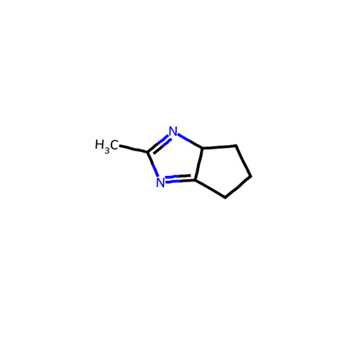 CC1=NC2CCCC2=N1